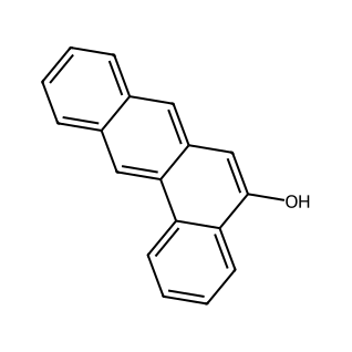 Oc1cc2cc3ccccc3cc2c2ccccc12